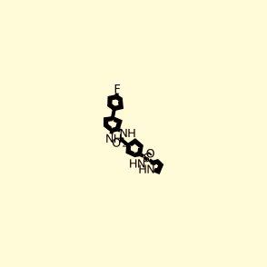 N=S(=O)(c1ccc(C(=O)Nc2cc(-c3ccc(F)cc3)ccc2N)cc1)c1ccc[nH]1